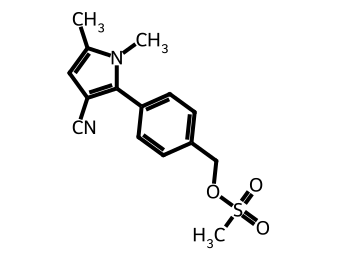 Cc1cc(C#N)c(-c2ccc(COS(C)(=O)=O)cc2)n1C